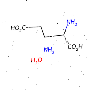 N.N[C@@H](CCC(=O)O)C(=O)O.O